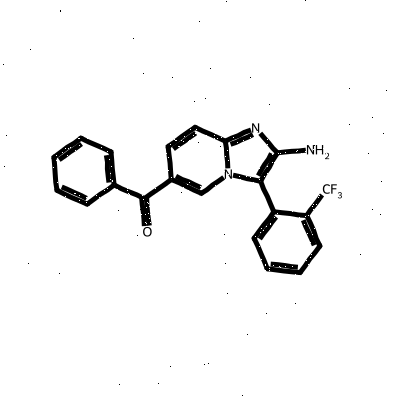 Nc1nc2ccc(C(=O)c3ccccc3)cn2c1-c1ccccc1C(F)(F)F